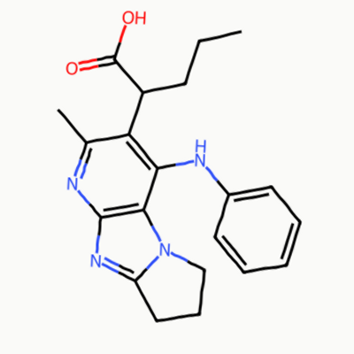 CCCC(C(=O)O)c1c(C)nc2nc3n(c2c1Nc1ccccc1)CCC3